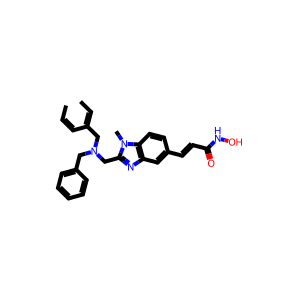 C/C=C\C(=C/C)CN(Cc1ccccc1)Cc1nc2cc(/C=C/C(=O)NO)ccc2n1C